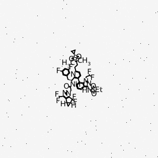 CCS(=O)(=O)Nc1nn(CC(F)F)c2c(-c3ccc(CCC(C)(C)S(=O)(=O)C4CC4)nc3[C@H](Cc3cc(F)cc(F)c3)NC(=O)Cn3nc(C(F)F)c4c3C(F)(F)[C@@H]3C[C@H]43)cccc12